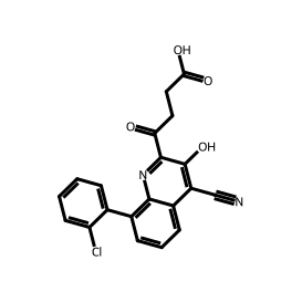 N#Cc1c(O)c(C(=O)CCC(=O)O)nc2c(-c3ccccc3Cl)cccc12